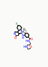 Cc1ccc(C(=O)NCC2CNCCO2)cc1Nc1nc2ccc(F)cc2c2c1=CC(=O)[N]C=2